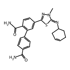 Cn1nc(-c2ccc(C(N)=O)c(-c3ccc(C(N)=O)cc3)c2)sc1=NC1CC=CCC1